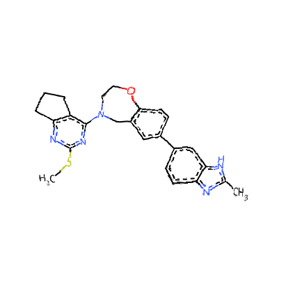 CSc1nc2c(c(N3CCOc4ccc(-c5ccc6nc(C)[nH]c6c5)cc4C3)n1)CCC2